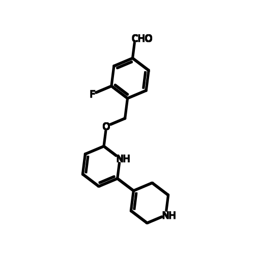 O=Cc1ccc(COC2C=CC=C(C3=CCNCC3)N2)c(F)c1